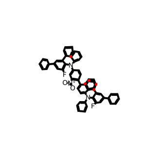 O=[N+]([O-])c1cc(N(c2ccccc2)c2c(F)cc(-c3ccccc3)cc2-c2ccccc2)ccc1-c1ccc(N(c2ccccc2)c2c(F)cc(-c3ccccc3)cc2-c2ccccc2)c2ccccc12